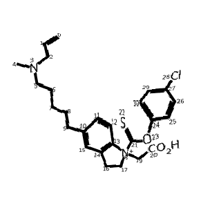 C=CCN(C)CCCCCc1ccc2c(c1)CC[N+]2(CC(=O)O)C(=S)Oc1ccc(Cl)cc1